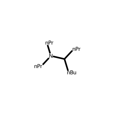 CCCCC(CCC)N(CCC)CCC